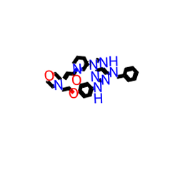 C=CC(=O)N1CCC[C@H](n2cnc3c(NCc4ccccc4)nc(Nc4ccc(OCCN5CCOCC5)cc4)nc32)C1